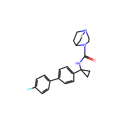 O=C(NC1(c2ccc(-c3ccc(F)cc3)cc2)CC1)N1CCN2CCC1CC2